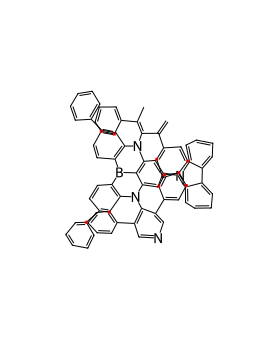 C=C(C1=CCCC=C1)/C(=C(\C)c1ccccc1)N1c2cc(-c3ccccc3)ccc2B2c3ccc(-c4ccccc4)cc3N(c3c(-c4ccccc4)cncc3-c3ccccc3)c3cc(-n4c5ccccc5c5ccccc54)cc1c32